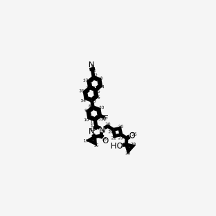 N#Cc1ccc2cc(-c3ccc(C4=NC5(CC5)C(=O)N4CC4CC(C(=O)C5(O)CC5)C4)c(F)c3)ccc2c1